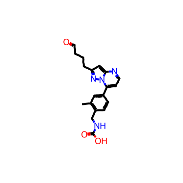 Cc1cc(-c2ccnc3cc(CCCC=O)nn23)ccc1CNC(=O)O